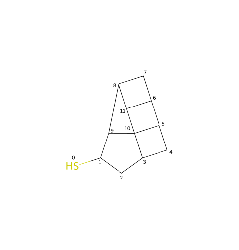 SC1CC2CC3C4CC5C1C23C45